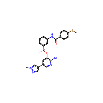 CSc1ccc(C(=O)Nc2cccc([C@@H](C)Oc3cc(-c4cnn(C)c4)cnc3N)c2)cc1